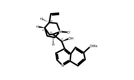 C=C[C@H]1C[N+]2([O-])CC[C@H]1C[C@@H]2[C@@H](O)c1ccnc2ccc(OC)cc12